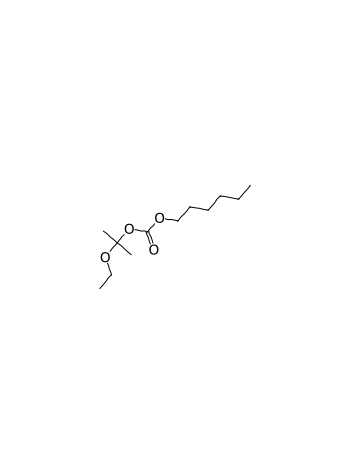 CCCCCCOC(=O)OC(C)(C)OCC